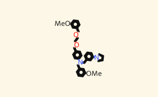 COc1cccc(COCCOCc2ccc(N(Cc3cccc(OC)c3)Cc3cccc(N4CCCC4)c3)cc2)c1